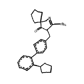 CCCCC1=NC2(CCCC2)C(=O)C1Cc1ccc(-c2ccccc2C2CCCC2)cc1